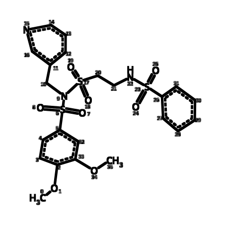 COc1ccc(S(=O)(=O)N(Cc2cccnc2)S(=O)(=O)CCNS(=O)(=O)c2ccccc2)cc1OC